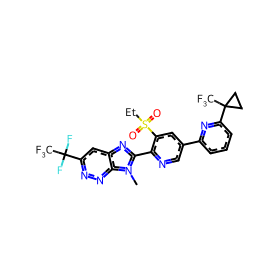 CCS(=O)(=O)c1cc(-c2cccc(C3(C(F)(F)F)CC3)n2)cnc1-c1nc2cc(C(F)(F)C(F)(F)F)nnc2n1C